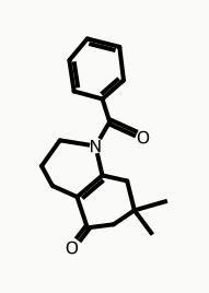 CC1(C)CC(=O)C2=C(C1)N(C(=O)c1ccccc1)CCC2